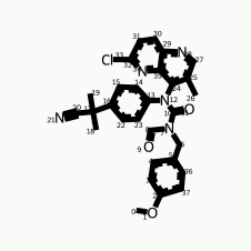 COc1ccc(CN(C=O)C(=O)N(c2ccc(C(C)(C)C#N)cc2)c2c(C)cnc3ccc(Cl)nc23)cc1